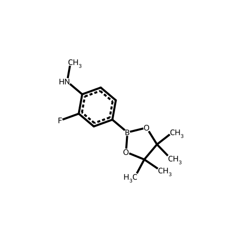 CNc1ccc(B2OC(C)(C)C(C)(C)O2)cc1F